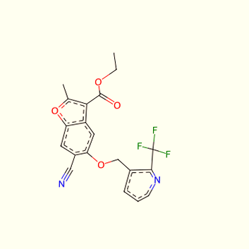 CCOC(=O)c1c(C)oc2cc(C#N)c(OCc3cccnc3C(F)(F)F)cc12